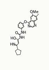 COc1cc2c(Oc3cccc(NC(=O)N/C(O)=C/C(=N)C4CCCC4)c3)ncnc2cc1C